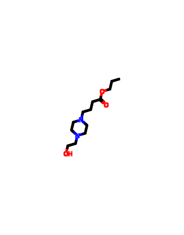 CCCOC(=O)CCCN1CCN(CCO)CC1